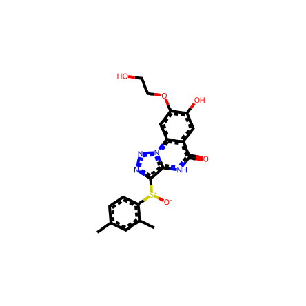 Cc1ccc([S+]([O-])c2nnn3c2[nH]c(=O)c2cc(O)c(OCCO)cc23)c(C)c1